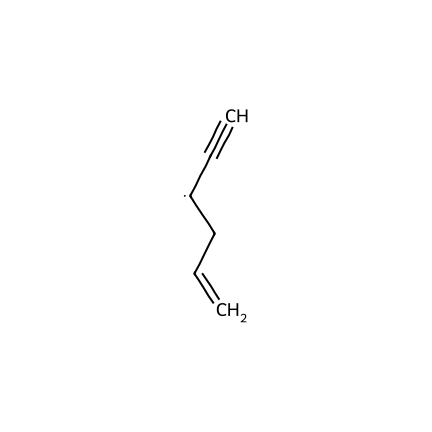 C#C[CH]CC=C